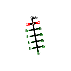 [CH2]OS(=O)(=O)C(Br)(Br)C(Br)(Br)C(Br)(Br)C(Br)(Br)Br